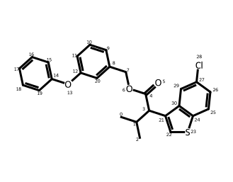 CC(C)C(C(=O)OCc1cccc(Oc2ccccc2)c1)c1csc2ccc(Cl)cc12